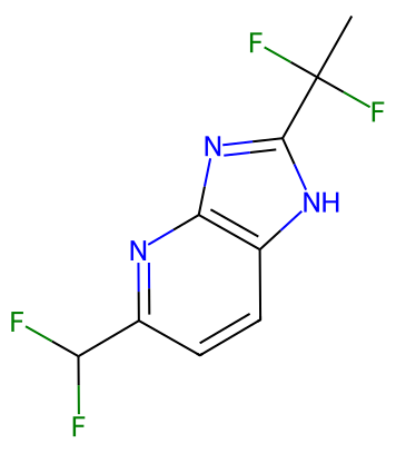 CC(F)(F)c1nc2nc(C(F)F)ccc2[nH]1